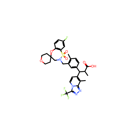 Cc1ccc(C(c2ccn3c(C(F)(F)F)nnc3c2C)C(C)C(=O)O)cc1CN1CC2(CCOCC2)Oc2ccc(F)cc2S1(=O)=O